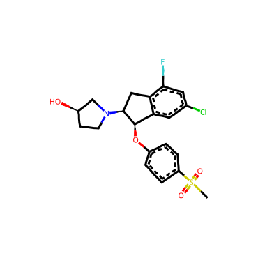 CS(=O)(=O)c1ccc(O[C@@H]2c3cc(Cl)cc(F)c3C[C@@H]2N2CC[C@@H](O)C2)cc1